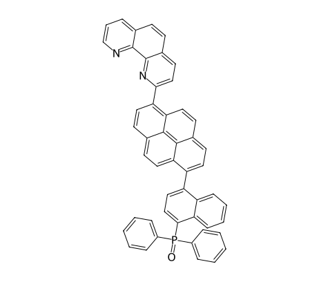 O=P(c1ccccc1)(c1ccccc1)c1ccc(-c2ccc3ccc4c(-c5ccc6ccc7cccnc7c6n5)ccc5ccc2c3c54)c2ccccc12